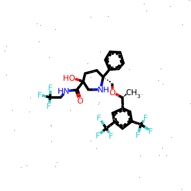 C[C@@H](OC[C@@]1(c2ccccc2)CCC(O)(C(=O)NCC(F)(F)F)CN1)c1cc(C(F)(F)F)cc(C(F)(F)F)c1